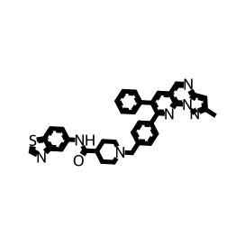 Cc1cc2ncc3cc(-c4ccccc4)c(-c4ccc(CN5CCC(C(=O)Nc6ccc7scnc7c6)CC5)cc4)nc3n2n1